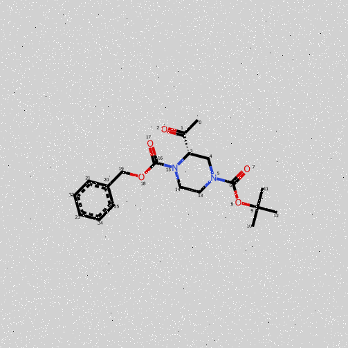 CC(=O)[C@@H]1CN(C(=O)OC(C)(C)C)CCN1C(=O)OCc1ccccc1